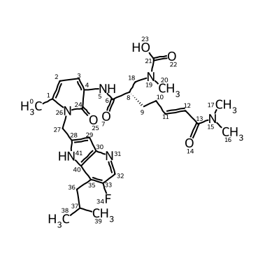 Cc1ccc(NC(=O)[C@@H](CC/C=C/C(=O)N(C)C)CN(C)C(=O)O)c(=O)n1Cc1cc2ncc(F)c(CC(C)C)c2[nH]1